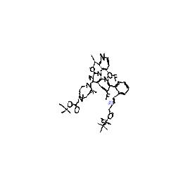 COc1ccnc(C(C)C)c1-n1c(=O)nc(N2CCN(C(=O)OC(C)(C)C)C[C@@H]2C)c2cc(F)c(-c3c(F)cccc3/C=C/CO[Si](C)(C)C(C)(C)C)nc21